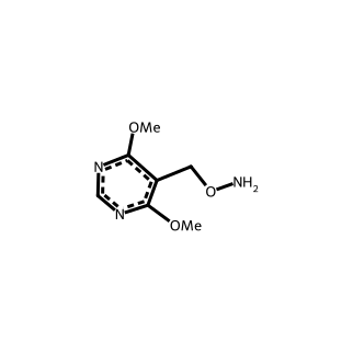 COc1ncnc(OC)c1CON